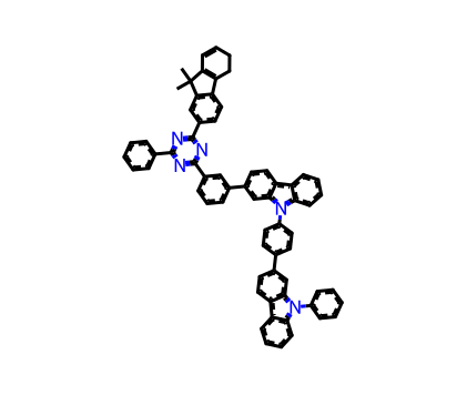 CC1(C)C2=C(CCC=C2)c2ccc(-c3nc(-c4ccccc4)nc(-c4cccc(-c5ccc6c7ccccc7n(-c7ccc(-c8ccc9c%10ccccc%10n(-c%10ccccc%10)c9c8)cc7)c6c5)c4)n3)cc21